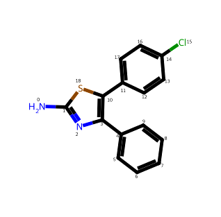 Nc1nc(-c2ccccc2)c(-c2ccc(Cl)cc2)s1